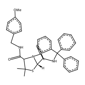 COc1ccc(CNC(=O)C2N3C(=O)C(NC(c4ccccc4)(c4ccccc4)c4ccccc4)[C@@H]3SC2(C)C)cc1